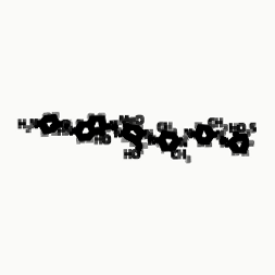 COc1cc(N=Nc2cc(C)c(N=Nc3ccc(N=Nc4ccccc4S(=O)(=O)O)c(C)c3)cc2C)c(CO)cc1N=Nc1ccc2cc(NOc3ccc(N)cc3)ccc2c1O